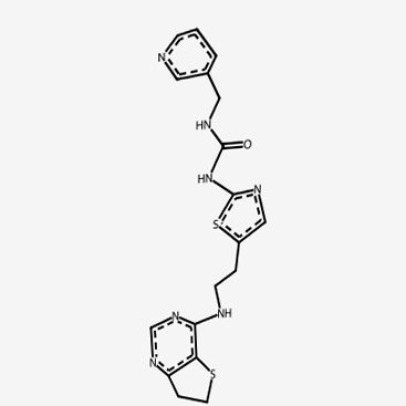 O=C(NCc1cccnc1)Nc1ncc(CCNc2ncnc3c2SCC3)s1